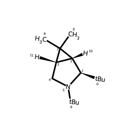 CC(C)(C)[C@@H]1[C@@H]2[C@H](CN1C(C)(C)C)C2(C)C